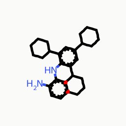 Nc1ccccc1Nc1c(C2CCCCC2)cc(C2CCCCC2)cc1C1CCCCC1